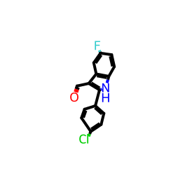 O=Cc1c(-c2ccc(Cl)cc2)[nH]c2ccc(F)cc12